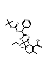 CCOC1(NC(=O)C(NC(=O)OC(C)(C)C)c2ccccc2)C(=O)N2C(C(=O)O)=C(C)CS[C@@H]21